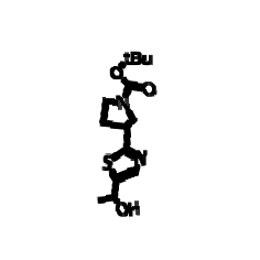 CC(O)c1cnc(C2CCN(C(=O)OC(C)(C)C)C2)s1